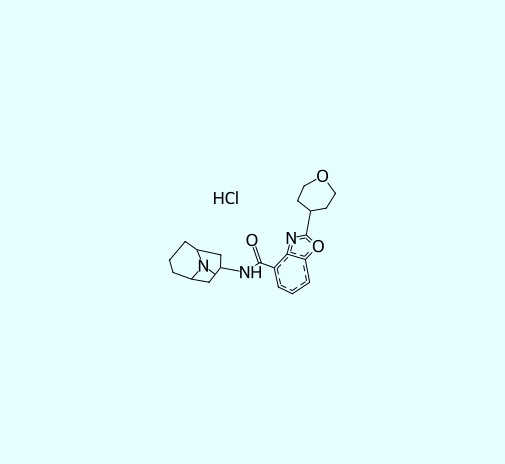 CN1C2CCCC1CC(NC(=O)c1cccc3oc(C4CCOCC4)nc13)C2.Cl